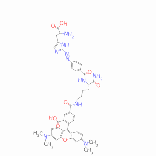 CN(C)c1ccc2c(-c3ccc(C(=O)NCCCCC(NC(=O)c4ccc(/N=N/c5ncc(CC(N)C(=O)O)[nH]5)cc4)C(N)=O)cc3C(=O)O)c3ccc(=[N+](C)C)cc-3oc2c1